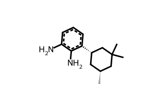 C[C@@H]1C[C@H](c2cccc(N)c2N)CC(C)(C)C1